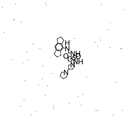 O=C(Nc1c2c(cc3c1CCC3)CCC2)NS(=O)(=O)NN1CC(N2CCCC2)C1